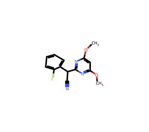 COc1cc(OC)nc(C(C#N)c2ccccc2F)n1